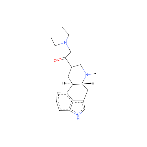 CCN(CC)CC(=O)C1C[C@@H]2c3cccc4[nH]cc(c34)C[C@H]2N(C)C1